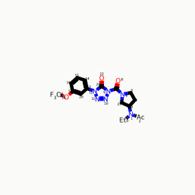 CCN(C(C)=O)C1CCN(C(=O)n2nnn(-c3cccc(OC(F)(F)F)c3)c2=O)C1